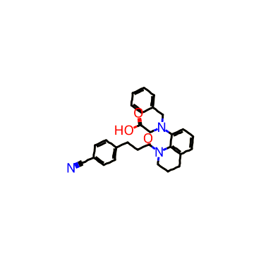 N#Cc1ccc(CCC(=O)N2CCCc3cccc(N(CC(=O)O)Cc4ccccc4)c32)cc1